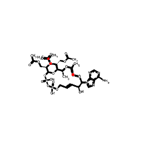 CC(=O)OC[C@@H](OC(C)=O)C(OC([C@H](C)OC(C)=O)[C@@H](COC(C)=O)OC(C)=O)OP(=O)(O)OP(=O)(O)OC/C=C/[C@H](O)C(OF)n1cnc2c(N)ncnc21